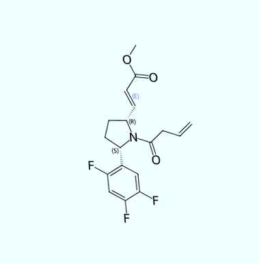 C=CCC(=O)N1[C@@H](/C=C/C(=O)OC)CC[C@H]1c1cc(F)c(F)cc1F